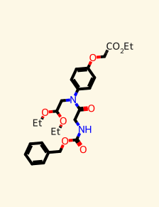 CCOC(=O)COc1ccc(N(CC(OCC)OCC)C(=O)CNC(=O)OCc2ccccc2)cc1